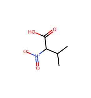 CC(C)C(C(=O)O)[N+](=O)[O-]